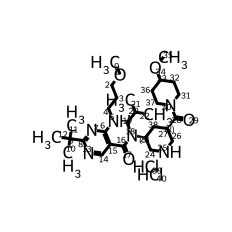 COCCCNc1nc(C(C)(C)C)ncc1C(=O)N(CC(C)C)[C@@H]1CNC[C@H](C(=O)N2CCC(OC)CC2)C1.Cl.Cl